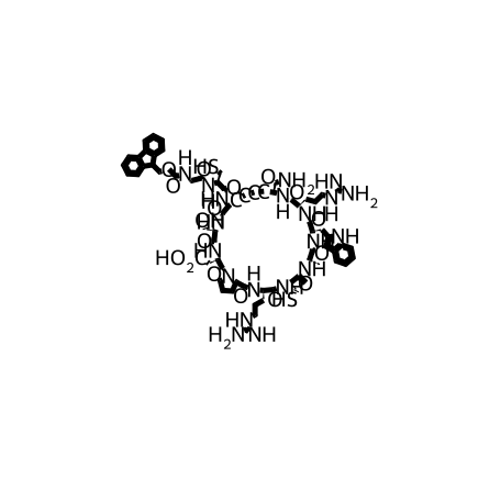 C[C@@H]1NC(=O)[C@H](CS)NC(=O)[C@H](CCCNC(=N)N)NC(=O)C2CCCN2C(=O)[C@H](CC(=O)O)NC(=O)[C@H](CO)NC(=O)[C@@H](NC(=O)[C@H](CS)NC(=O)CNC(=O)OCC2c3ccccc3-c3ccccc32)CCCC[C@@H](C(N)=O)NC(=O)[C@H](CCCNC(=N)N)NC(=O)[C@H](Cc2cc3ccccc3[nH]2)NC1=O